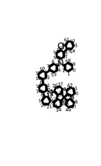 c1ccc(N(c2ccc(-c3cccc(-c4ccc5c6ccccc6n(-c6cccc7c6-c6ccccc6C7(c6ccccc6)c6ccccc6)c5c4)c3)cc2)c2ccc3oc4ccccc4c3c2)cc1